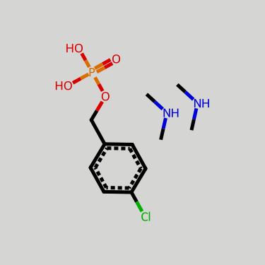 CNC.CNC.O=P(O)(O)OCc1ccc(Cl)cc1